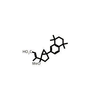 COC1(C(C)=CC(=O)O)CCC2(c3ccc4c(c3)C(C)(C)CCC4(C)C)CC12